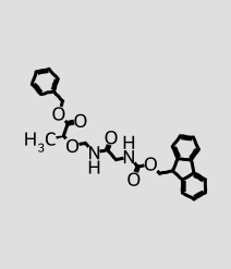 C[C@H](OCNC(=O)CNC(=O)OCC1c2ccccc2-c2ccccc21)C(=O)OCc1ccccc1